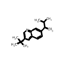 CC(C)C(C)c1ccc2cc(C(C)(C)C)cnc2c1